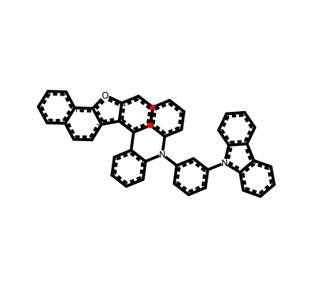 c1ccc(N(c2cccc(-n3c4ccccc4c4ccccc43)c2)c2ccccc2-c2cccc3oc4c5ccccc5ccc4c23)cc1